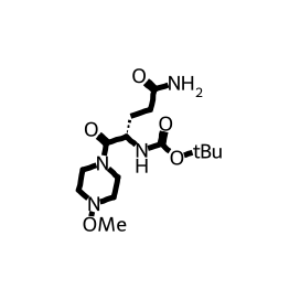 CON1CCN(C(=O)[C@H](CCC(N)=O)NC(=O)OC(C)(C)C)CC1